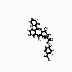 CC(NC(=O)COc1ccc(C(C)C)cc1)C(=O)C1N=C(c2ccccc2)c2ccccc2N(C)[C@@H]1N